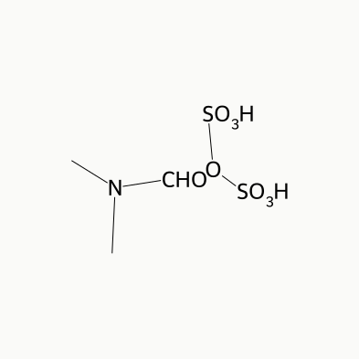 CN(C)C=O.O=S(=O)(O)OS(=O)(=O)O